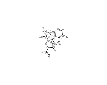 CC(=O)C1CC23C=CC1(C)C1Oc4c(C)ccc5c4[C@@]12C[C@]1(C5)[C@H]3N1C